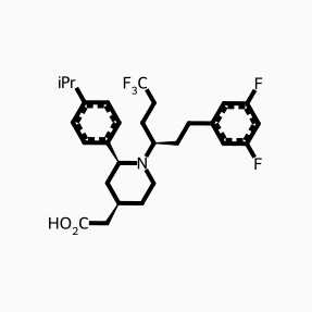 CC(C)c1ccc([C@@H]2C[C@H](CC(=O)O)CCN2[C@H](CCc2cc(F)cc(F)c2)CCC(F)(F)F)cc1